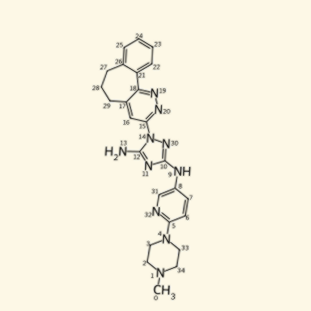 CN1CCN(c2ccc(Nc3nc(N)n(-c4cc5c(nn4)-c4ccccc4CCC5)n3)cn2)CC1